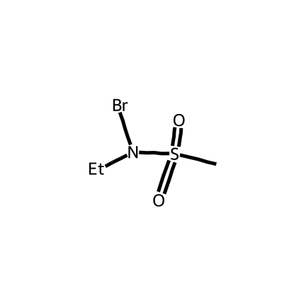 CCN(Br)S(C)(=O)=O